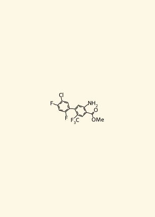 COC(=O)c1cc(C(F)(F)F)c(-c2cc(Cl)c(F)cc2F)cc1N